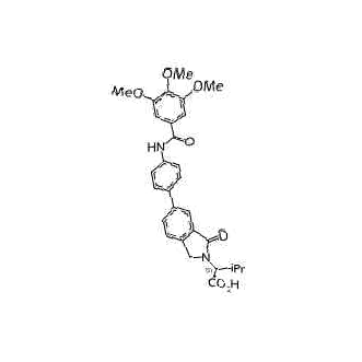 COc1cc(C(=O)Nc2ccc(-c3ccc4c(c3)C(=O)N([C@H](C(=O)O)C(C)C)C4)cc2)cc(OC)c1OC